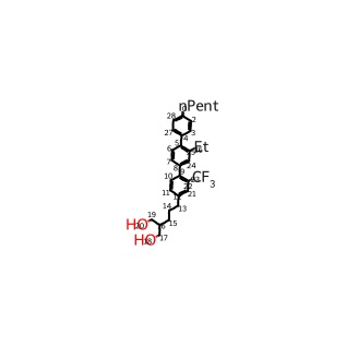 CCCCCc1ccc(-c2ccc(-c3ccc(CCCC(CO)CO)cc3C(F)(F)F)cc2CC)cc1